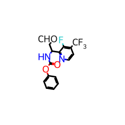 O=CCC(NC(=O)Oc1ccccc1)c1nccc(C(F)(F)F)c1F